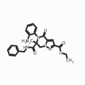 CCOC(=O)c1cc2n(n1)CC(C)(C(=O)NCc1ccccc1)N(c1ccccc1C)C2=O